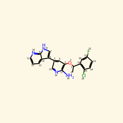 CC(Oc1cc(-c2c[nH]c3ncccc23)cnc1N)c1cc(F)ccc1Cl